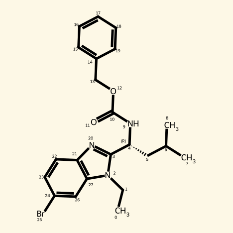 CCn1c([C@@H](CC(C)C)NC(=O)OCc2ccccc2)nc2ccc(Br)cc21